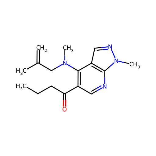 C=C(C)CN(C)c1c(C(=O)CCC)cnc2c1cnn2C